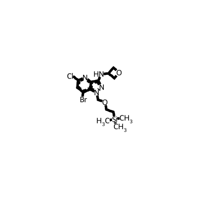 C[Si](C)(C)CCOCn1nc(NC2COC2)c2nc(Cl)cc(Br)c21